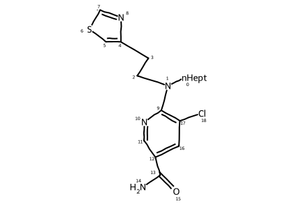 CCCCCCCN(CCc1cs[c]n1)c1ncc(C(N)=O)cc1Cl